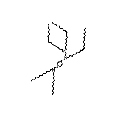 CCCCCCCC/C=C\CCCCCCCCN(CCCCCCCC/C=C\CCCCCCCC)CCN(CCCCCCCC/C=C\CCCCCCCCCC)CCN1CCN(CCN(CCCCCCCCCCCC)CCCCCCCCCCCC)CC1